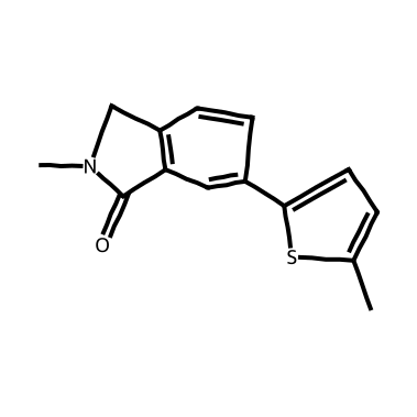 Cc1ccc(-c2ccc3c(c2)C(=O)N(C)C3)s1